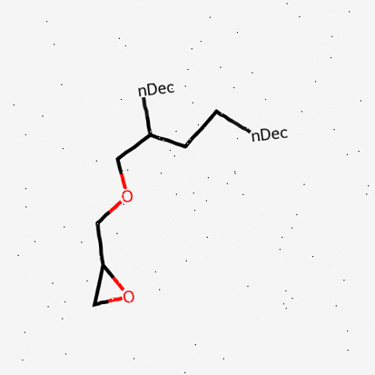 CCCCCCCCCCCCC(CCCCCCCCCC)COCC1CO1